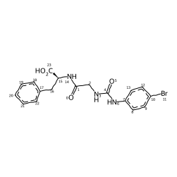 O=C(CNC(=O)Nc1ccc(Br)cc1)N[C@@H](Cc1ccccc1)C(=O)O